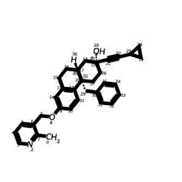 Cc1ncccc1COc1ccc2c(c1)CC[C@@H]1C[C@@](O)(C#CC3CC3)CC[C@@]21Cc1ccccc1